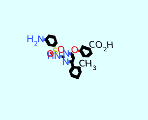 Cc1ccccc1-c1cc(Oc2cccc(C(=O)O)c2)nc(NS(=O)(=O)c2cccc(N)c2)n1